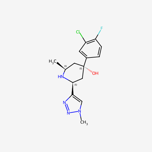 C[C@H]1C[C@@](O)(c2ccc(F)c(Cl)c2)C[C@@H](c2cn(C)nn2)N1